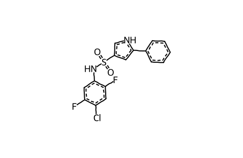 O=S(=O)(Nc1cc(F)c(Cl)cc1F)c1c[nH]c(-c2ccccc2)c1